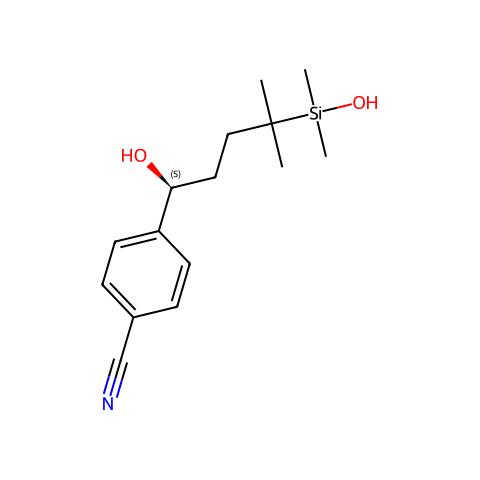 CC(C)(CC[C@H](O)c1ccc(C#N)cc1)[Si](C)(C)O